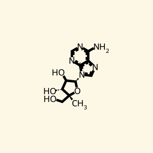 C[C@]1(CO)O[C@@H](n2cnc3c(N)ncnc32)C(O)[C@H]1O